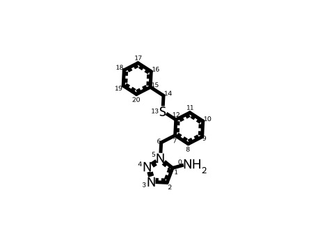 Nc1cnnn1Cc1ccccc1SCc1ccccc1